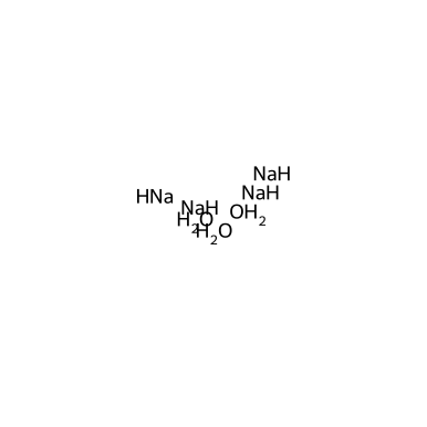 O.O.O.[NaH].[NaH].[NaH].[NaH]